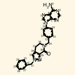 Nc1ncnc2c1ncn2-c1ccc(CN2CCc3cn(Cc4ccccc4)nc3C2=O)cc1